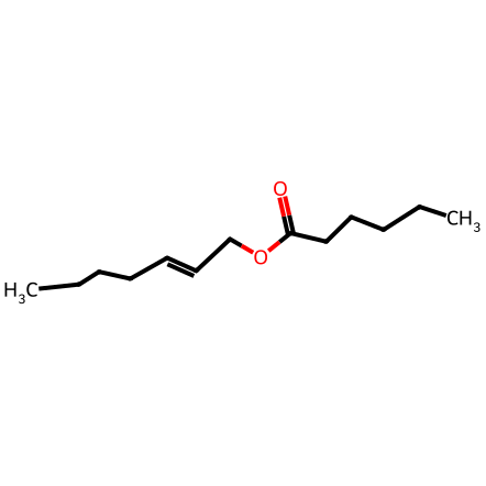 CCCC/C=C/COC(=O)CCCCC